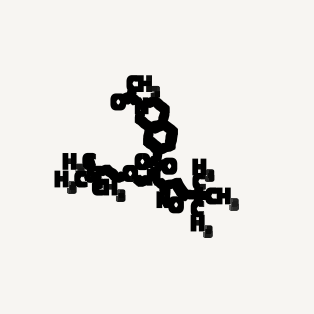 CC(=O)N1CCc2ccc(S(=O)(=O)N(COCC[Si](C)(C)C)c3cc(C(C)(C)C)on3)cc2C1